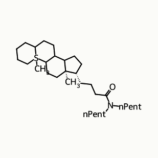 CCCCCN(CCCCC)C(=O)CCC[C@H]1CCC2C3CCC4CCCCS4(C)C3CC[C@@]21C